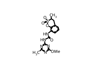 COc1nc(C)nc(NC(=O)Nc2cccc3c2OS(=O)(=O)C(C)C3)n1